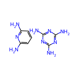 Nc1cccc(N)n1.Nc1nc(N)nc(N)n1